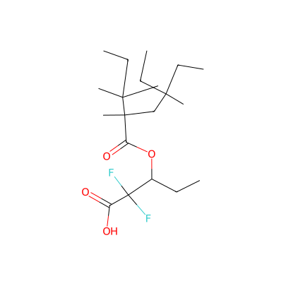 CCC(OC(=O)C(C)(CC(C)(CC)CC)C(C)(C)CC)C(F)(F)C(=O)O